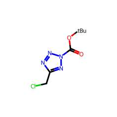 CC(C)(C)OC(=O)n1nnc(CCl)n1